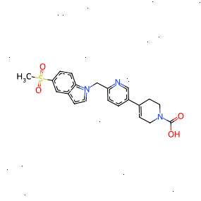 CS(=O)(=O)c1ccc2c(ccn2Cc2ccc(C3=CCN(C(=O)O)CC3)cn2)c1